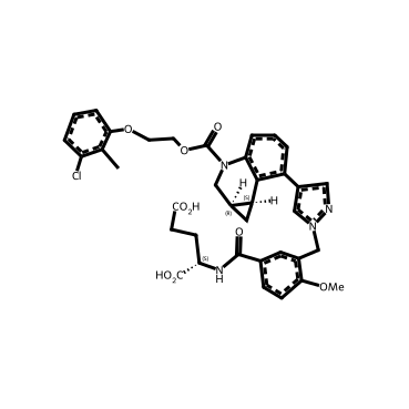 COc1ccc(C(=O)N[C@@H](CCC(=O)O)C(=O)O)cc1Cn1cc(-c2cccc3c2[C@H]2C[C@H]2CN3C(=O)OCCOc2cccc(Cl)c2C)cn1